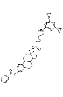 C[C@]12CCC3c4ccc(OC(=O)c5ccccc5)cc4CCC3C1CCC2OC(=O)COCCNc1nc(N2CC2)nc(N2CC2)n1